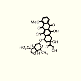 COc1cccc2c1C(=O)c1c(N=O)c3c(c(O)c1C2=O)C[C@@](O)(C(=O)CO)C[C@@H]3O[C@H]1C[C@H]2[C@H](OCN2C(=O)O)[C@H](C)O1